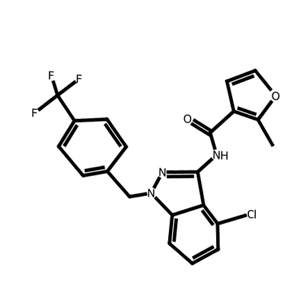 Cc1occc1C(=O)Nc1nn(Cc2ccc(C(F)(F)F)cc2)c2cccc(Cl)c12